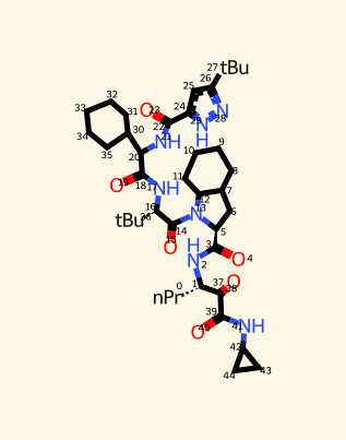 CCC[C@H](NC(=O)[C@@H]1CC2CCCCC2N1C(=O)[C@@H](NC(=O)C(NC(=O)c1cc(C(C)(C)C)n[nH]1)C1CCCCC1)C(C)(C)C)C(=O)C(=O)NC1CC1